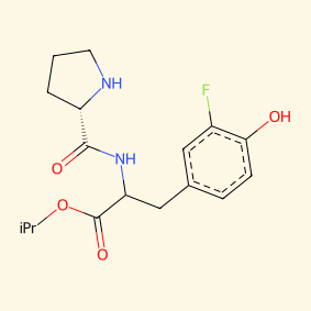 CC(C)OC(=O)C(Cc1ccc(O)c(F)c1)NC(=O)[C@@H]1CCCN1